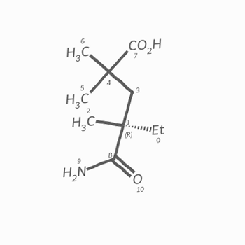 CC[C@](C)(CC(C)(C)C(=O)O)C(N)=O